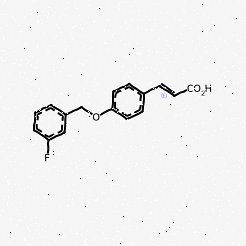 O=C(O)/C=C/c1ccc(OCc2cccc(F)c2)cc1